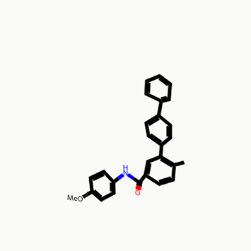 COc1ccc(NC(=O)c2ccc(C)c(-c3ccc(-c4ccccc4)cc3)c2)cc1